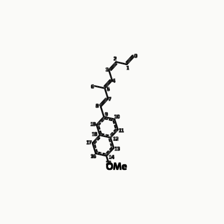 C=C\C=C/C=C(C)/C=C/c1ccc2cc(OC)ccc2c1